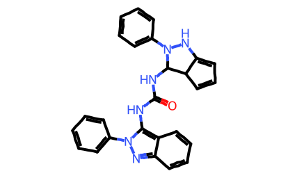 O=C(Nc1c2ccccc2nn1-c1ccccc1)NC1C2C=CC=C2NN1c1ccccc1